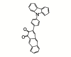 O=C1C(=O)c2cc3ccccc3cc2C=C1c1ccc(-n2c3ccccc3c3ccccc32)cc1